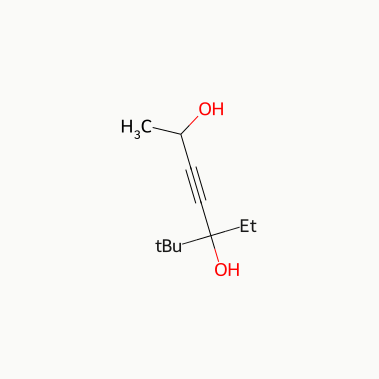 CCC(O)(C#CC(C)O)C(C)(C)C